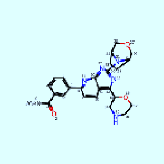 CNC(=O)c1cccc(-c2ccc3c(C4CNCCO4)nc(N4C5CCC4COC5)nc3n2)c1